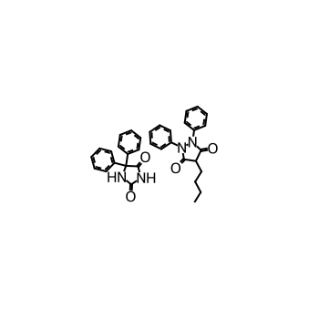 CCCCC1C(=O)N(c2ccccc2)N(c2ccccc2)C1=O.O=C1NC(=O)C(c2ccccc2)(c2ccccc2)N1